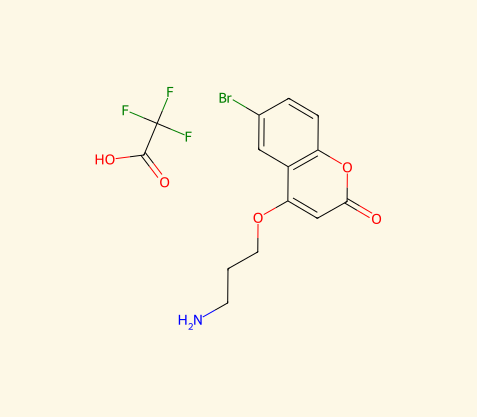 NCCCOc1cc(=O)oc2ccc(Br)cc12.O=C(O)C(F)(F)F